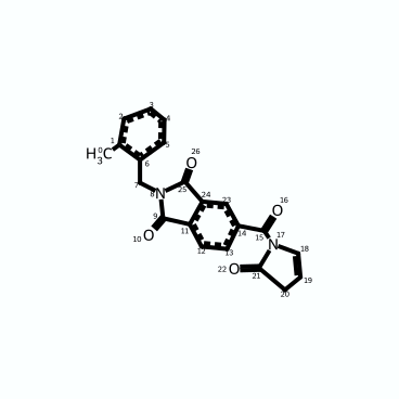 Cc1ccccc1CN1C(=O)c2ccc(C(=O)N3C=CCC3=O)cc2C1=O